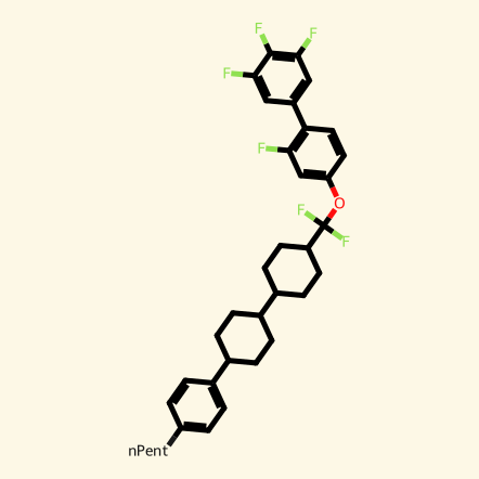 CCCCCc1ccc(C2CCC(C3CCC(C(F)(F)Oc4ccc(-c5cc(F)c(F)c(F)c5)c(F)c4)CC3)CC2)cc1